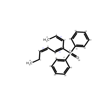 C\C=C/C(=C\C=C/CC)P(=O)(c1ccccc1)c1ccccc1